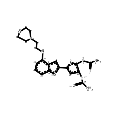 NC(=O)Nc1sc(-c2cc3c(OCCN4CCOCC4)cccc3s2)cc1OC(N)=O